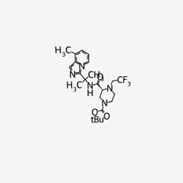 Cc1cccn2c(C(C)(C)NC(=O)[C@@H]3CN(C(=O)OC(C)(C)C)CCN3CC(F)(F)F)ncc12